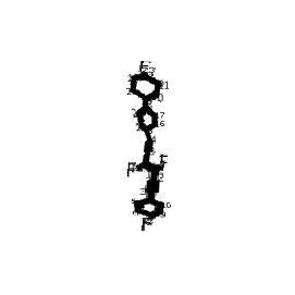 F/C(C#Cc1ccc(F)cc1)=C(/F)C#Cc1ccc(C2CCC(F)CC2)cc1